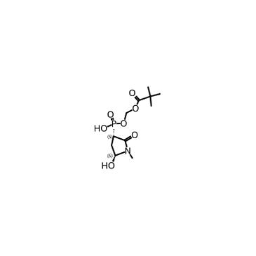 CN1C(=O)[C@@H](P(=O)(O)OCOC(=O)C(C)(C)C)C[C@@H]1O